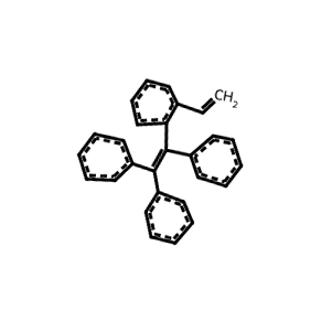 C=Cc1ccccc1C(=C(c1ccccc1)c1ccccc1)c1ccccc1